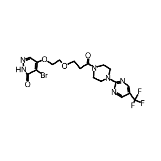 O=C(CCOCCOc1cn[nH]c(=O)c1Br)N1CCN(c2ncc(C(F)(F)F)cn2)CC1